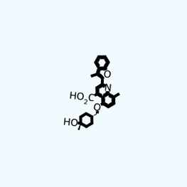 Cc1c(-c2cc(C(=O)O)c3c(OC[C@H]4CC[C@@](C)(O)CC4)ccc(C)c3n2)oc2ccccc12